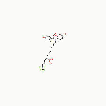 CCOC(=O)C(CCCCCC=CC[C@@H]1c2ccc(OC)cc2OC[C@]1(SC)c1ccc(OC)cc1)CCCC(F)(F)C(F)(F)F